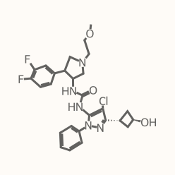 COCCN1CC(NC(=O)Nc2c(Cl)c([C@H]3C[C@H](O)C3)nn2-c2ccccc2)C(c2ccc(F)c(F)c2)C1